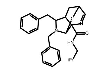 CC(C)CNC(=O)C12N=CC3CC1C(Cc1ccccc1)N(Cc1ccccc1)C2C3